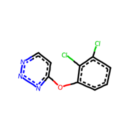 Clc1cccc(Oc2ccnnn2)c1Cl